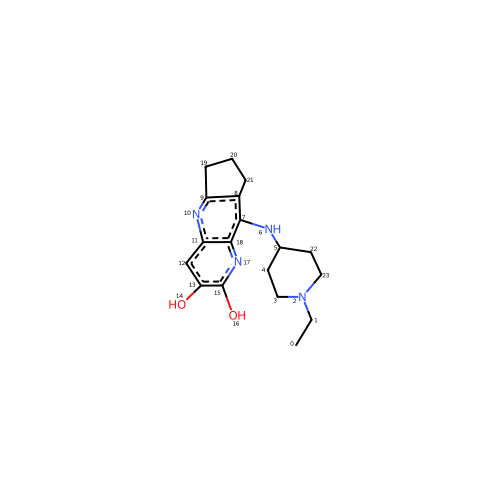 CCN1CCC(Nc2c3c(nc4cc(O)c(O)nc24)CCC3)CC1